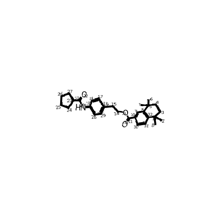 CC1(C)CCC(C)(C)c2cc(C(=O)OCCc3ccc(NC(=O)C4CCCC4)cc3)ccc21